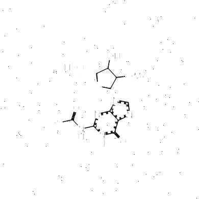 COC1C(O)[C@@H](C(=O)O)O[C@H]1n1cnc2c(=O)[nH]c(NC(=O)C(C)C)nc21